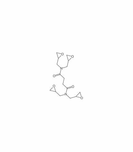 O=C(CCC(=O)N(CC1CO1)CC1CO1)N(CC1CO1)CC1CO1